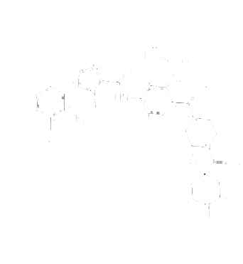 CCOc1ccc(-c2cnc(C(=O)Nc3ccc(C(=O)N4CCN(C(=O)C5(O)CCNCC5)CC4)c(Cl)c3)n2C)c(F)c1F.O=CO